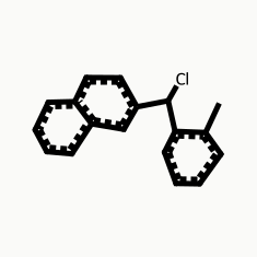 Cc1ccccc1C(Cl)c1ccc2ccccc2c1